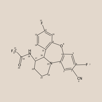 N#Cc1cc2c(cc1F)Oc1cc(F)ccc1C1C(NC(=O)C(F)(F)F)CCCN21